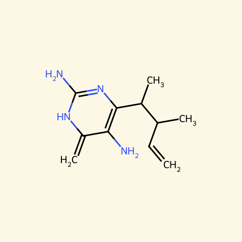 C=CC(C)C(C)C1=C(N)C(=C)NC(N)=N1